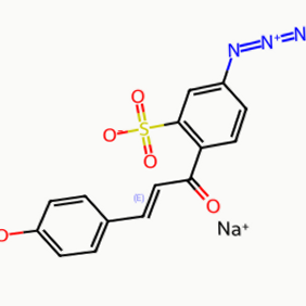 [N-]=[N+]=Nc1ccc(C(=O)/C=C/c2ccc(O)cc2)c(S(=O)(=O)[O-])c1.[Na+]